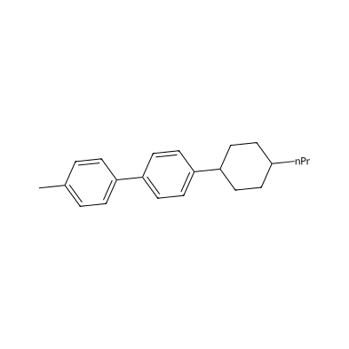 CCCC1CCC(c2ccc(-c3ccc(C)cc3)cc2)CC1